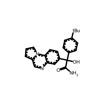 CC(C)(C)c1ccc(C(O)(C(N)=O)c2ccc3c(c2)ncc2cccn23)cc1